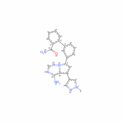 Cn1cc(-c2cc(-c3cccc(-c4ccccc4C(N)=O)c3)n3ncnc(N)c23)cn1